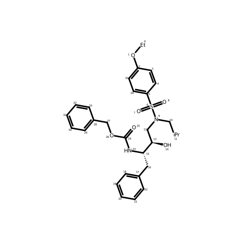 CCOc1ccc(S(=O)(=O)N(CC(C)C)C[C@@H](O)[C@H](Cc2ccccc2)NC(=O)OCc2ccccc2)cc1